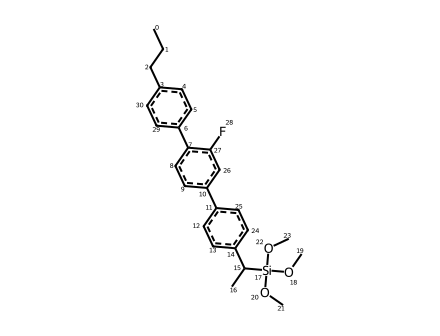 CCCc1ccc(-c2ccc(-c3ccc(C(C)[Si](OC)(OC)OC)cc3)cc2F)cc1